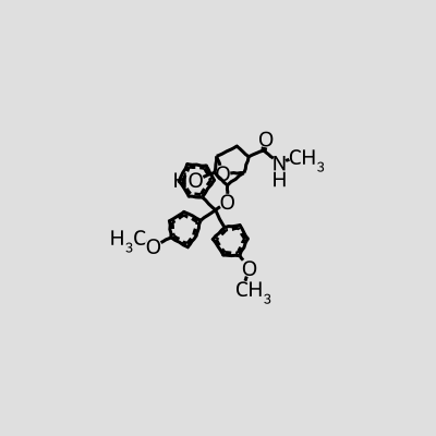 CNC(=O)C1CC2OC1C(OC(c1ccccc1)(c1ccc(OC)cc1)c1ccc(OC)cc1)C2O